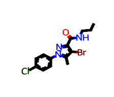 CCCNC(=O)c1nn(-c2ccc(Cl)cc2)c(C)c1Br